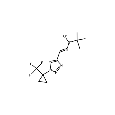 CC(C)(C)[S+]([O-])/N=C/c1cn(C2(C(F)(F)F)CC2)nn1